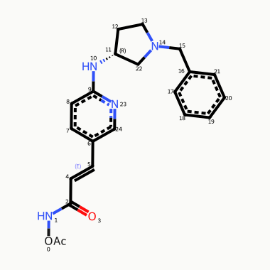 CC(=O)ONC(=O)/C=C/c1ccc(N[C@@H]2CCN(Cc3ccccc3)C2)nc1